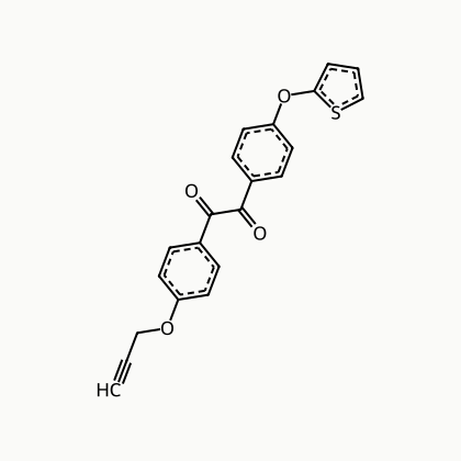 C#CCOc1ccc(C(=O)C(=O)c2ccc(Oc3cccs3)cc2)cc1